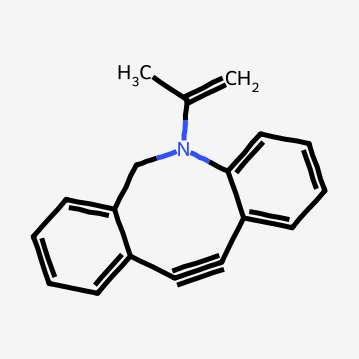 C=C(C)N1Cc2ccccc2C#Cc2ccccc21